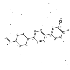 C=CC1CCC(c2ccc(-c3ccc(F)c(Cl)c3)cc2)CC1